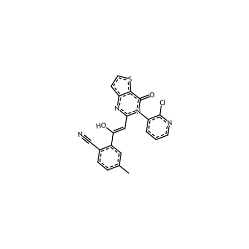 Cc1ccc(C#N)c(C(O)=Cc2nc3ccsc3c(=O)n2-c2cccnc2Cl)c1